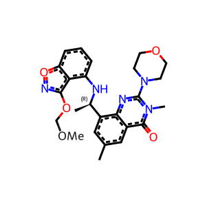 COCOc1noc2cccc(N[C@H](C)c3cc(C)cc4c(=O)n(C)c(N5CCOCC5)nc34)c12